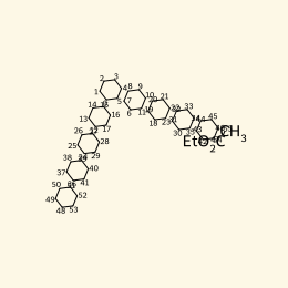 C1CCCCC1.C1CCCCC1.C1CCCCC1.C1CCCCC1.C1CCCCC1.C1CCCCC1.C1CCCCC1.C1CCCCC1.C1CCCCC1.CCOC(C)=O